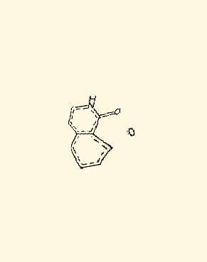 O=c1[nH]ccc2ccccc12.[O]